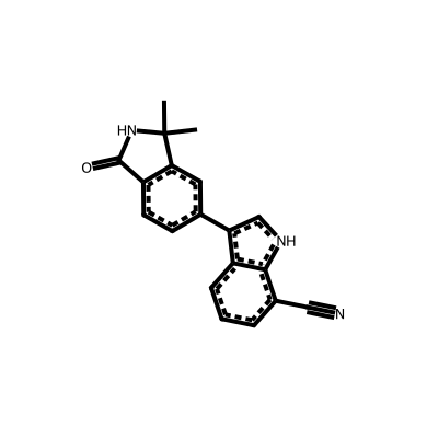 CC1(C)NC(=O)c2ccc(-c3c[nH]c4c(C#N)cccc34)cc21